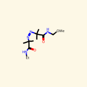 CCNC(=O)C(C)(C)/N=N\C(C)(C)C(=O)NCOC